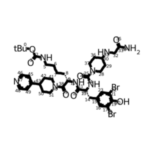 CC(C)(C)OC(=O)NCCCC[C@H](NC(=O)[C@@H](Cc1cc(Br)c(O)c(Br)c1)NC(=O)N1CCC(NCC(N)=O)CC1)C(=O)N1CCC(c2ccncc2)CC1